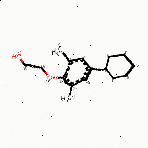 Cc1cc(C2CCCCC2)cc(C)c1OCCO